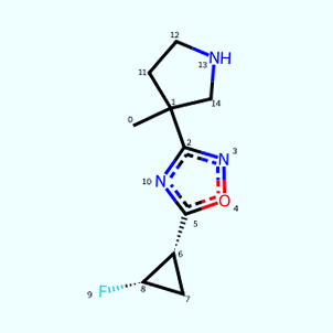 CC1(c2noc([C@@H]3C[C@@H]3F)n2)CCNC1